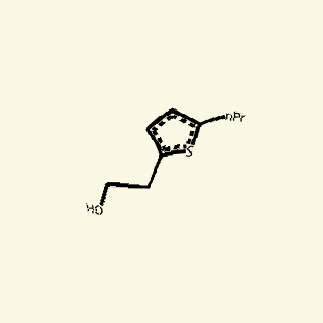 CCCc1ccc(CCO)s1